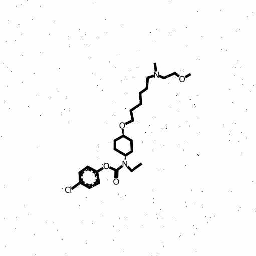 CCN(C(=O)Oc1ccc(Cl)cc1)[C@H]1CC[C@H](OCCCCCCN(C)CCOC)CC1